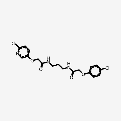 O=C(COc1ccc(Cl)cc1)NCCCNC(=O)COc1ccc(Cl)nc1